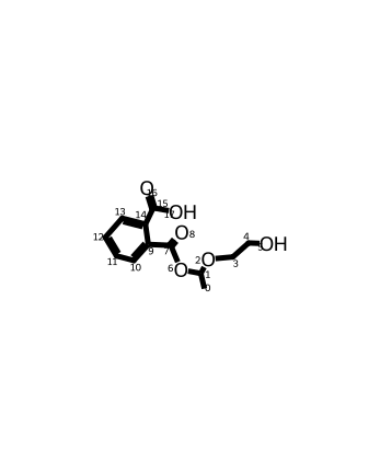 CC(OCCO)OC(=O)c1ccccc1C(=O)O